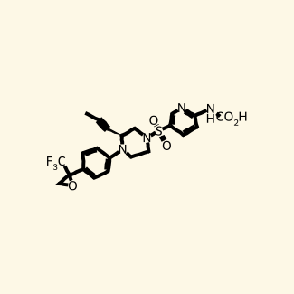 CC#C[C@H]1CN(S(=O)(=O)c2ccc(NC(=O)O)nc2)CCN1c1ccc(C2(C(F)(F)F)CO2)cc1